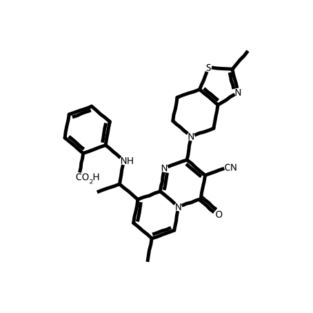 Cc1cc(C(C)Nc2ccccc2C(=O)O)c2nc(N3CCc4sc(C)nc4C3)c(C#N)c(=O)n2c1